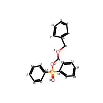 O=P(OCOCc1ccccc1)(c1ccccc1)c1ccccc1